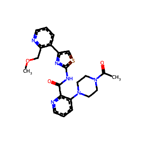 COCc1ncccc1-c1csc(NC(=O)c2ncccc2N2CCN(C(C)=O)CC2)n1